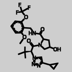 COc1cccc(OC(F)(F)F)c1CNC(=O)C1CC(O)CN1C(=O)[C@@H](n1cc(C2CC2)nn1)C(C)(C)C